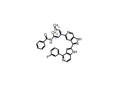 C=N/C=C(\C=C(/C)NC(=O)c1ccccc1)c1cc2c(-c3cc4c(-c5cccc(F)c5)nccc4[nH]3)n[nH]c2cn1